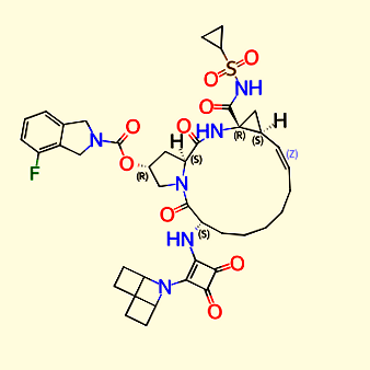 O=C1N[C@]2(C(=O)NS(=O)(=O)C3CC3)C[C@H]2/C=C\CCCCC[C@H](Nc2c(N3C4CCC45CCC35)c(=O)c2=O)C(=O)N2C[C@H](OC(=O)N3Cc4cccc(F)c4C3)C[C@@H]12